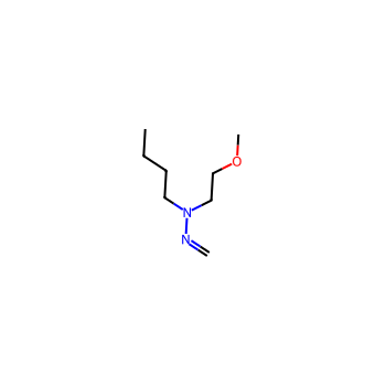 C=NN(CCCC)CCOC